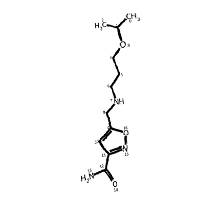 CC(C)OCCCNCc1cc(C(N)=O)no1